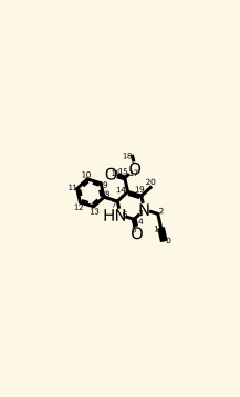 C#CCN1C(=O)NC(c2ccccc2)C(C(=O)OC)=C1C